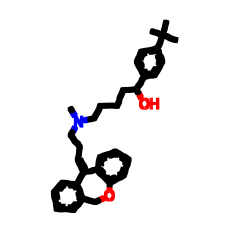 CN(CC/C=C1/c2ccccc2COc2ccccc21)CCCCC(O)c1ccc(C(C)(C)C)cc1